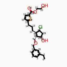 CCc1cccc(COC[C@@H]2[C@@H](CCCc3ccc(C(=O)OCCO)s3)[C@H](Cl)C[C@H]2O)c1